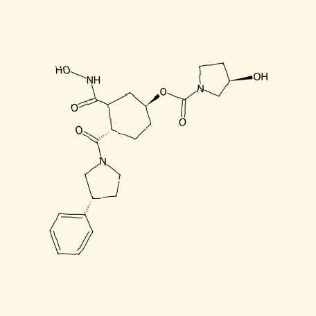 O=C(NO)C1C[C@@H](OC(=O)N2CC[C@@H](O)C2)CC[C@@H]1C(=O)N1CC[C@H](c2ccccc2)C1